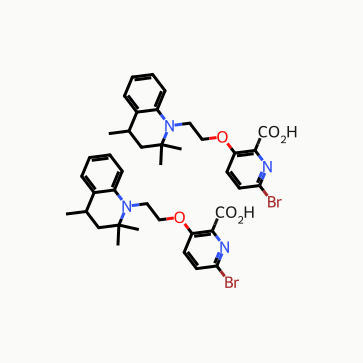 CC1CC(C)(C)N(CCOc2ccc(Br)nc2C(=O)O)c2ccccc21.CC1CC(C)(C)N(CCOc2ccc(Br)nc2C(=O)O)c2ccccc21